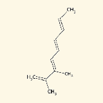 C=C(C)C(C)=CC=CC=CC